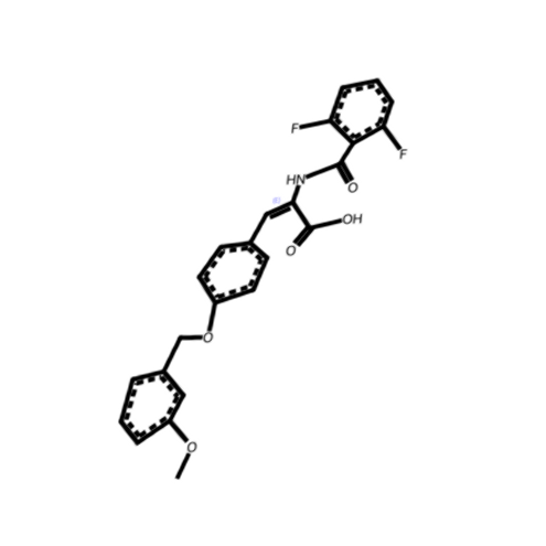 COc1cccc(COc2ccc(/C=C(/NC(=O)c3c(F)cccc3F)C(=O)O)cc2)c1